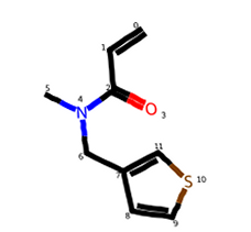 C=CC(=O)N(C)Cc1ccsc1